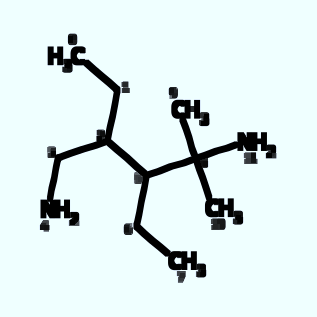 CCC(CN)C(CC)C(C)(C)N